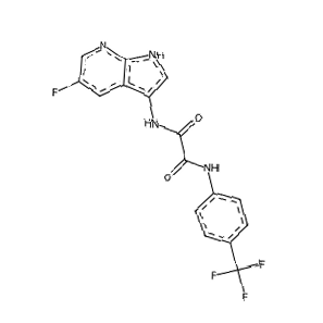 O=C(Nc1ccc(C(F)(F)F)cc1)C(=O)Nc1c[nH]c2ncc(F)cc12